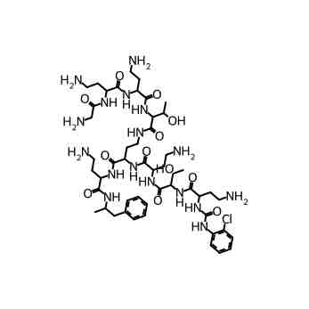 CC(Cc1ccccc1)NC(=O)C(CCN)NC(=O)C(CCNC(=O)C(NC(=O)C(CCN)NC(=O)C(CCN)NC(=O)CN)C(C)O)NC(=O)C(CCN)NC(=O)C(NC(=O)C(CCN)NC(=O)Nc1ccccc1Cl)C(C)O